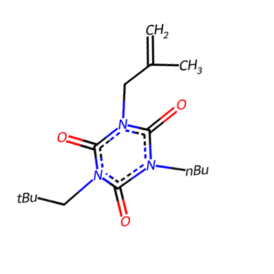 C=C(C)Cn1c(=O)n(CCCC)c(=O)n(CC(C)(C)C)c1=O